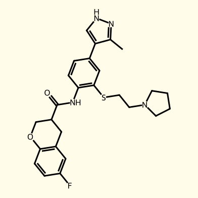 Cc1n[nH]cc1-c1ccc(NC(=O)C2COc3ccc(F)cc3C2)c(SCCN2CCCC2)c1